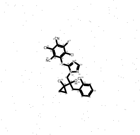 N#Cc1c(F)c(Cl)c(Sc2ncnn2CC(O)(Cc2ccccc2Cl)C2(Cl)CC2)c(C#N)c1Cl